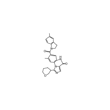 Cc1ccc2c(c1)CCN2C(=O)c1cc2[nH]c(=O)c3cnc(C4CCCOC4)n3c2cc1C